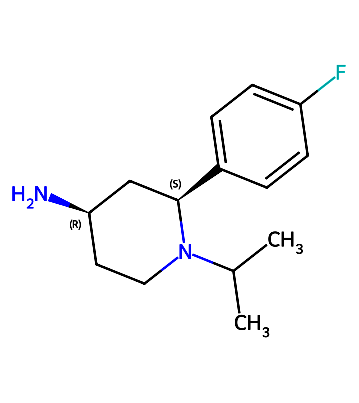 CC(C)N1CC[C@@H](N)C[C@H]1c1ccc(F)cc1